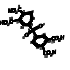 O=C(O)c1ccc(S(=O)(=O)c2ccc(C(=O)O)c(C(=O)O)c2)cc1C(=O)O